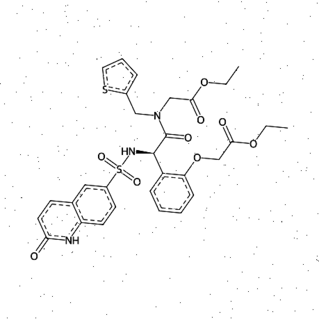 CCOC(=O)COc1ccccc1[C@@H](NS(=O)(=O)c1ccc2[nH]c(=O)ccc2c1)C(=O)N(CC(=O)OCC)Cc1cccs1